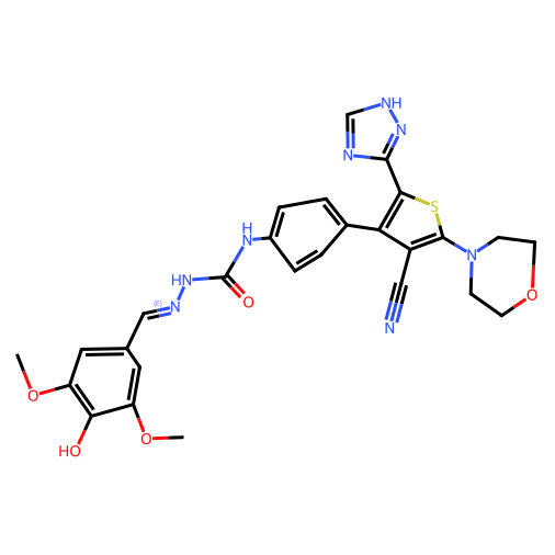 COc1cc(/C=N/NC(=O)Nc2ccc(-c3c(-c4nc[nH]n4)sc(N4CCOCC4)c3C#N)cc2)cc(OC)c1O